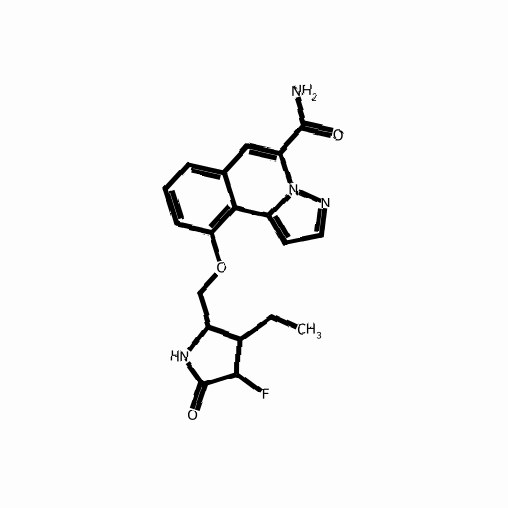 CCC1C(COc2cccc3cc(C(N)=O)n4nccc4c23)NC(=O)C1F